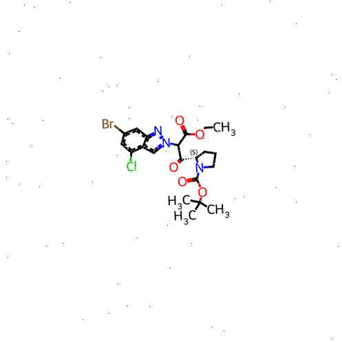 CCOC(=O)C(C(=O)[C@@H]1CCCN1C(=O)OC(C)(C)C)n1cc2c(Cl)cc(Br)cc2n1